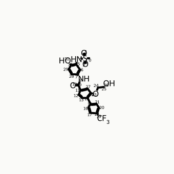 CS(=O)(=O)Nc1cc(NC(=O)c2ccc(-c3ccc(C(F)(F)F)cc3)c(OCCO)c2)ccc1O